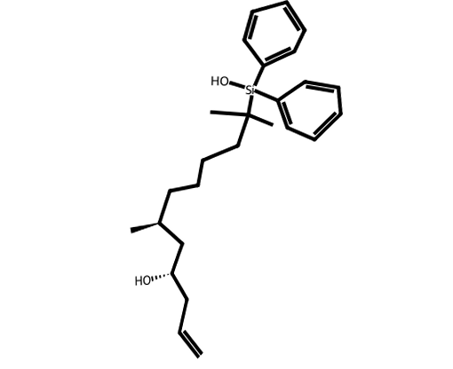 C=CC[C@H](O)C[C@@H](C)CCCCC(C)(C)[Si](O)(c1ccccc1)c1ccccc1